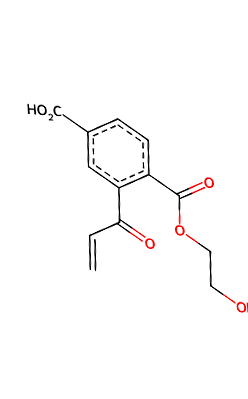 C=CC(=O)c1cc(C(=O)O)ccc1C(=O)OCCO